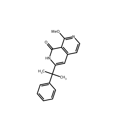 COc1nccc2cc(C(C)(C)c3ccccc3)[nH]c(=O)c12